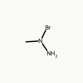 CN(N)Br